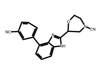 N#Cc1cccc(-c2cccc3[nH]c(C4CN(C#N)CCO4)nc23)c1